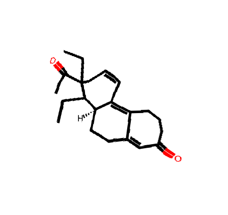 CCC1[C@@H]2CCC3=CC(=O)CCC3=C2C=CC1(CC)C(C)=O